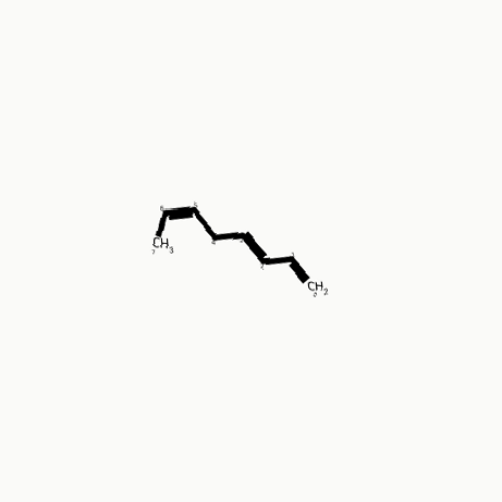 C=C/C=C/C/C=C\C